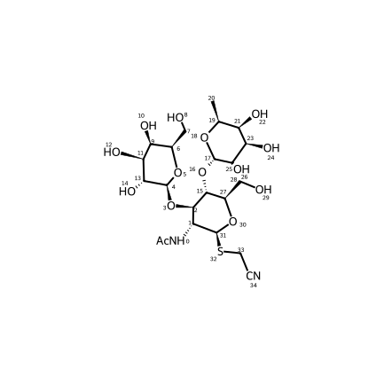 CC(=O)N[C@@H]1[C@@H](O[C@@H]2O[C@H](CO)[C@H](O)[C@H](O)[C@H]2O)[C@H](O[C@@H]2O[C@@H](C)[C@@H](O)[C@@H](O)[C@@H]2O)[C@@H](CO)O[C@H]1SCC#N